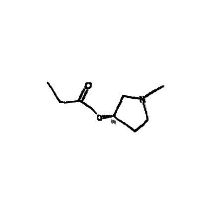 CCC(=O)O[C@@H]1CCN(C)C1